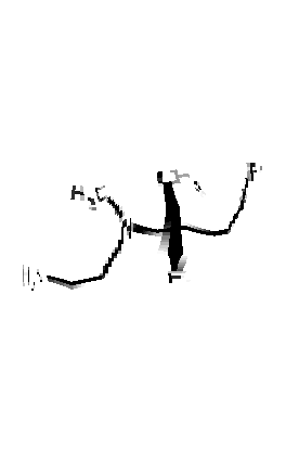 CCC(C)(CC(C)C)N(C)CN